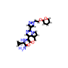 NC(=O)C(NC1=COCC2=C3C1=CN=C(c1cnn(CCOC4CCCCO4)c1)N3CC2)C1CC1